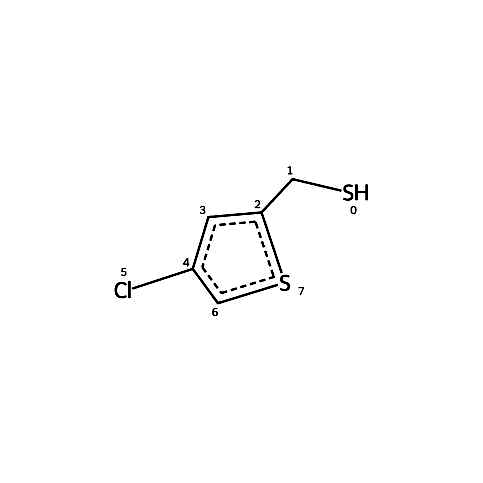 SCc1cc(Cl)cs1